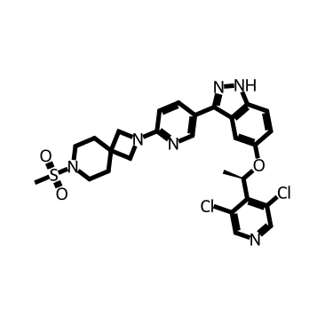 C[C@@H](Oc1ccc2[nH]nc(-c3ccc(N4CC5(CCN(S(C)(=O)=O)CC5)C4)nc3)c2c1)c1c(Cl)cncc1Cl